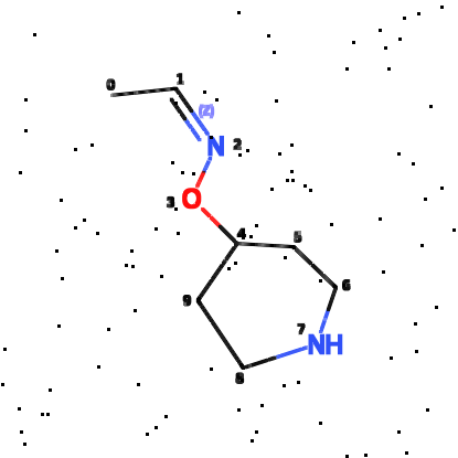 C/C=N\OC1CCNCC1